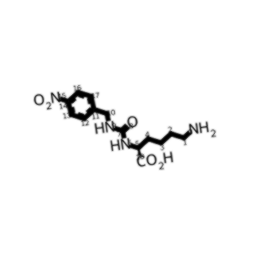 NCCCC[C@H](NC(=O)NCc1ccc([N+](=O)[O-])cc1)C(=O)O